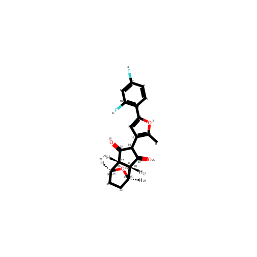 Cc1oc(-c2ccc(F)cc2F)cc1C1C(=O)[C@@H]2[C@H](C1=O)[C@H]1CC[C@@H]2O1